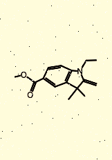 C=C1N(CC)c2ccc(C(=O)OC)cc2C1(C)C